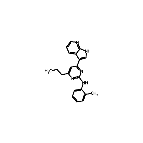 CCCc1cc(-c2c[nH]c3ncccc23)nc(Nc2ccccc2C)n1